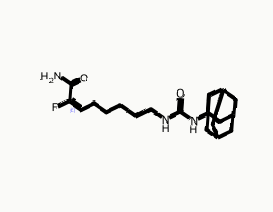 NC(=O)/C(F)=C\CCCCCNC(=O)NC12CC3CC(CC(C3)C1)C2